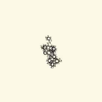 c1ccc(CCC(c2ccccc2)c2cccc3oc4ccc(N(c5ccccc5)c5cccc6c5Oc5ccccc5C65c6ccccc6-c6ccccc65)cc4c23)cc1